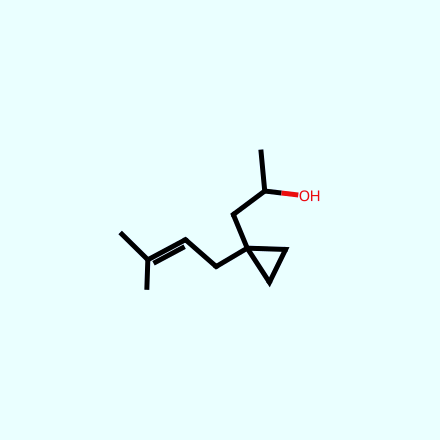 CC(C)=CCC1(CC(C)O)CC1